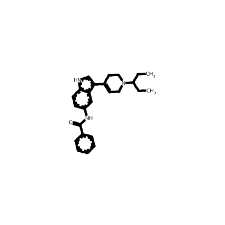 CCC(CC)N1CC=C(c2c[nH]c3ccc(NC(=O)c4ccccc4)cc23)CC1